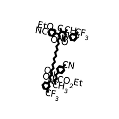 CCOC(=O)C1=C(C)N(c2cccc(C(F)(F)F)c2)C(=O)N(C(=O)CCCCCCCCCC(=O)N2C(=O)N(c3cccc(C(F)(F)F)c3)C(C)=C(C(=O)OCC)C2c2ccc(C#N)cc2)C1c1ccc(C#N)cc1